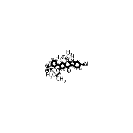 CC(C)COc1cc2c(=O)c3c4ccc(C#N)cc4[nH]c3n(C(C)C)c2cc1-c1cccc(S(=O)(=O)F)c1